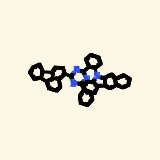 c1ccc(-c2nc(-c3ccccc3-n3c4ccccc4c4cc5ccccc5cc43)nc(-c3ccc4c5c(cccc35)-c3ccccc3-4)n2)cc1